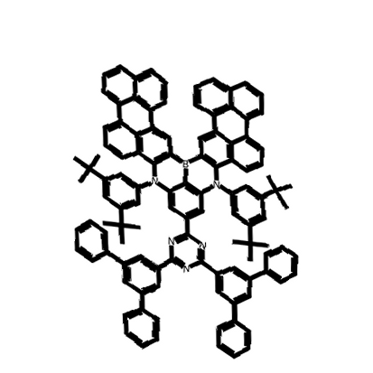 CC(C)(C)c1cc(N2c3cc(-c4nc(-c5cc(-c6ccccc6)cc(-c6ccccc6)c5)nc(-c5cc(-c6ccccc6)cc(-c6ccccc6)c5)n4)cc4c3B(c3cc5c6cccc7cccc(c8cccc(c32)c85)c76)c2cc3c5cccc6cccc(c7cccc(c2N4c2cc(C(C)(C)C)cc(C(C)(C)C)c2)c73)c65)cc(C(C)(C)C)c1